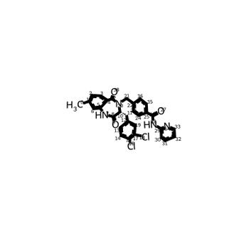 Cc1ccc2c(c1)NC(=O)[C@@H](Cc1ccc(Cl)c(Cl)c1)N(Cc1ccc(C(=O)Nc3ccccn3)cc1)C2=O